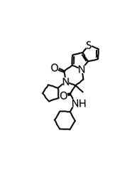 CC1(C(=O)NC2CCCCC2)Cn2c(cc3sccc32)C(=O)N1C1CCCC1